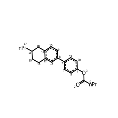 CCCC(=O)Oc1ccc(-c2ccc3c(c2)CCC(CCC)C3)cc1